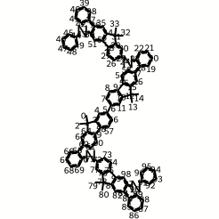 CC1(C)c2cc(-c3ccc4c(c3)C(C)(C)c3cc5c6ccccc6n(-c6ccc7c(c6)C(C)(C)c6cc8c9ccccc9n(-c9ccccc9)c8cc6-7)c5cc3-4)ccc2-c2cc3c(cc21)c1ccccc1n3-c1ccc2c(c1)C(C)(C)c1cc3c4ccccc4n(-c4ccccc4)c3cc1-2